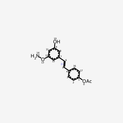 CC(=O)Oc1ccc(/C=C/c2cc(O)cc(ON)c2)cc1